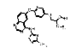 CCOC(COc1ccc(Oc2ccc3ncnc(Nc4nc(C)ns4)c3c2)nc1)OCC